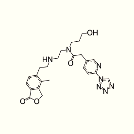 Cc1c(CCNCCN(CCCO)C(=O)Cc2ccc(-n3cnnn3)nc2)ccc2c1COC2=O